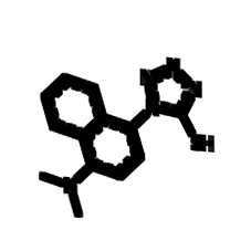 CN(C)c1ccc(-n2nnnc2S)c2ccccc12